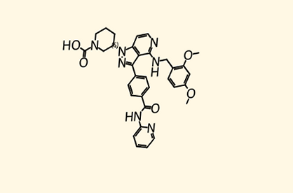 COc1ccc(CNc2nccc3c2c(-c2ccc(C(=O)Nc4ccccn4)cc2)nn3[C@H]2CCCN(C(=O)O)C2)c(OC)c1